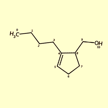 CCCCC1=CCCC1CO